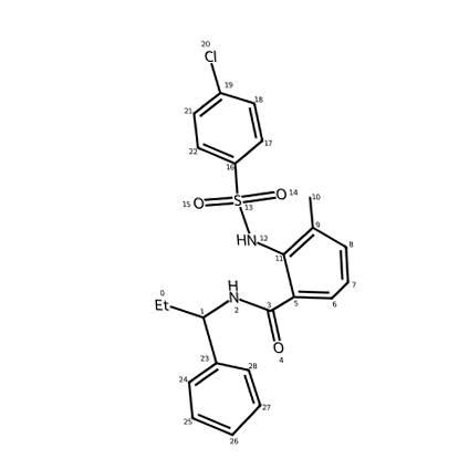 CCC(NC(=O)c1cccc(C)c1NS(=O)(=O)c1ccc(Cl)cc1)c1ccccc1